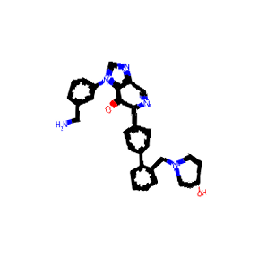 NCc1cccc(-n2cnc3c2C(=O)C(c2ccc(-c4ccccc4CN4CC[C@H](O)C4)cc2)N=C3)c1